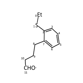 CCSc1ccccc1CCC[C]=O